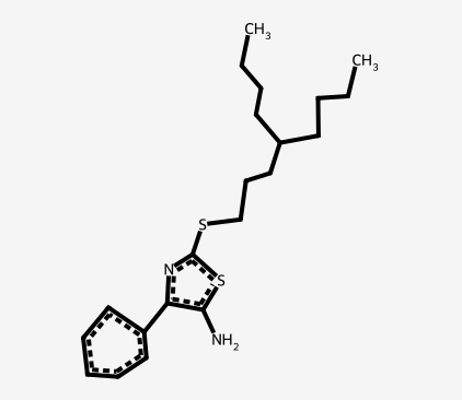 CCCCC(CCCC)CCCSc1nc(-c2ccccc2)c(N)s1